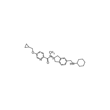 CN(C(=O)c1ccc(OCC2CC2)cn1)[C@@H]1Cc2ccc(CNC3CCCCC3)cc2C1